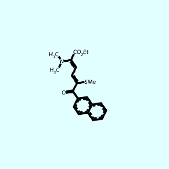 CCOC(=O)/C(=C/C=C(\SC)C(=O)c1ccc2ccccc2c1)N(C)C